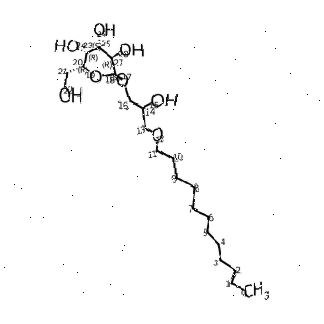 CCCCCCCCCCCCOCC(O)CO[C@H]1O[C@H](CO)[C@H](O)[C@H](O)[C@H]1O